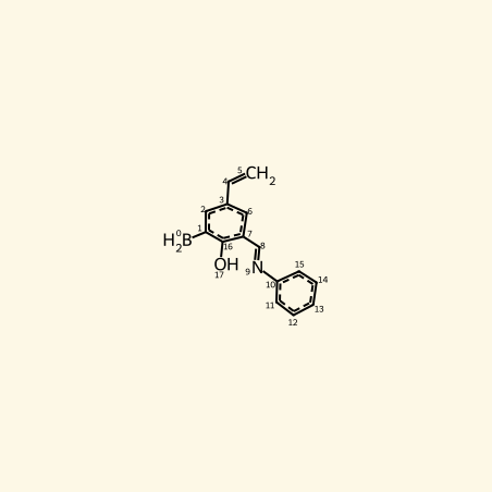 Bc1cc(C=C)cc(/C=N/c2ccccc2)c1O